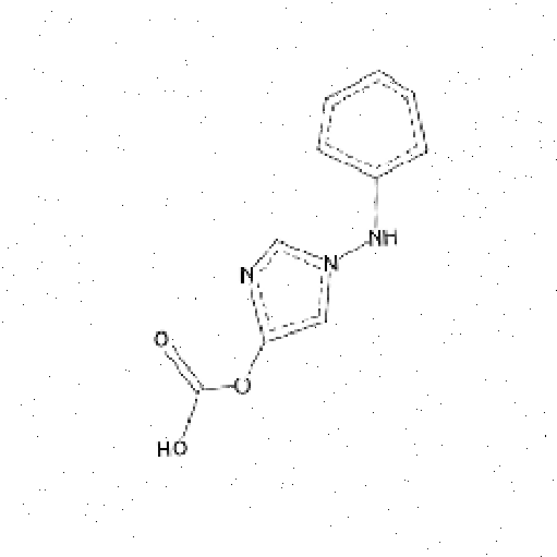 O=C(O)Oc1cn(Nc2ccccc2)cn1